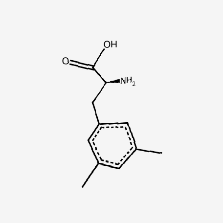 Cc1cc(C)cc(C[C@H](N)C(=O)O)c1